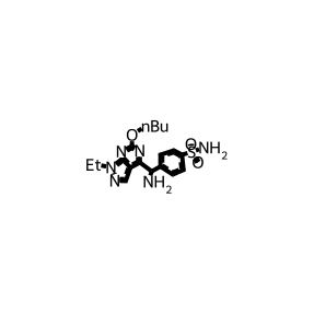 CCCCOc1nc(C(N)c2ccc(S(N)(=O)=O)cc2)c2cnn(CC)c2n1